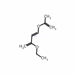 C=C(C)O/C=C/C(=C)OCC